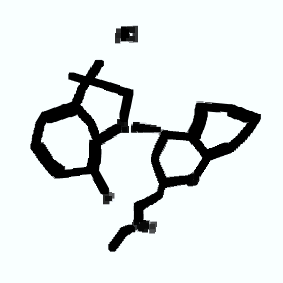 CNC[C@@H]1Oc2ccccc2[C@H]1N1CC(C)(C)c2cccc(F)c21.Cl